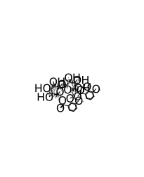 COc1cccc(C(=O)OC[C@H]2O[C@H](O[C@H]3O[C@H](COC(=O)c4cccc(OC)c4OC)[C@@H](O)[C@H](O)[C@H]3O)[C@H](O)[C@@H](O)[C@@H]2O)c1OC